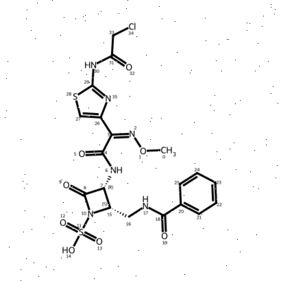 CON=C(C(=O)N[C@H]1C(=O)N(S(=O)(=O)O)[C@H]1CNC(=O)c1ccccc1)c1csc(NC(=O)CCl)n1